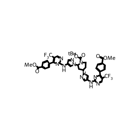 COC(=O)c1ccc(-c2nc(Nc3cnn(C4CCN(C(=O)OC(C)(C)C)C(n5cc(Nc6ncc(C(F)(F)F)c(-c7ccc(C(=O)OC)cc7)n6)cn5)C4)c3)ncc2C(F)(F)F)cc1